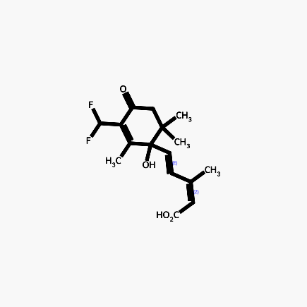 CC1=C(C(F)F)C(=O)CC(C)(C)C1(O)/C=C/C(C)=C\C(=O)O